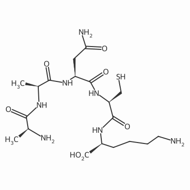 C[C@H](N)C(=O)N[C@@H](C)C(=O)N[C@@H](CC(N)=O)C(=O)N[C@@H](CS)C(=O)N[C@@H](CCCCN)C(=O)O